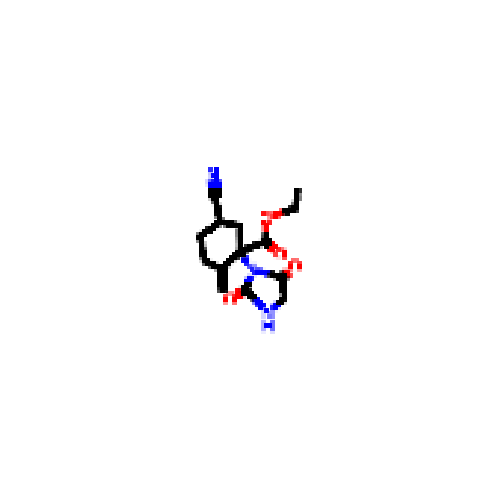 C=C1CCC(C#N)CC1(C(=O)OCC)N1C(=O)CNC1=O